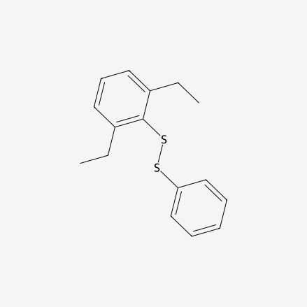 CCc1cccc(CC)c1SSc1ccccc1